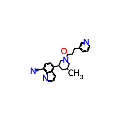 CC1CC(c2ccc(C#N)c3ncccc23)CN(C(=O)CCc2cccnc2)C1